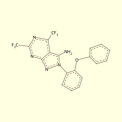 Nc1c2c(C(F)(F)F)nc(C(F)(F)F)nc2nn1-c1ccccc1Oc1ccccc1